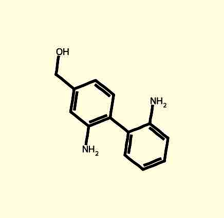 Nc1ccccc1-c1ccc(CO)cc1N